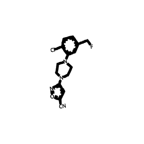 N#Cc1cc(N2CCN(c3cc(CF)ccc3Cl)CC2)no1